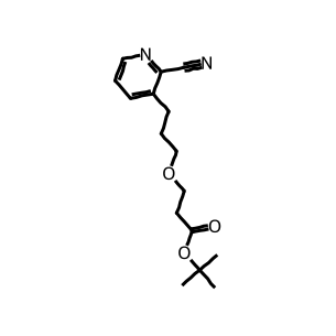 CC(C)(C)OC(=O)CCOCCCc1cccnc1C#N